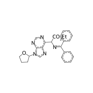 CCOC(=O)C(N=C(c1ccccc1)c1ccccc1)c1ncnc2c1ncn2C1CCCO1